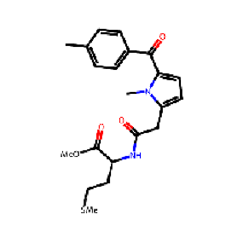 COC(=O)[C@H](CCSC)NC(=O)Cc1ccc(C(=O)c2ccc(C)cc2)n1C